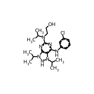 CC(C)N(CCO)c1nc(Nc2cccc(Cl)c2)c2c(n1)N(C(C)C)NN2C(C)C